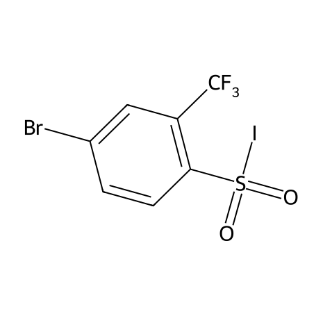 O=S(=O)(I)c1ccc(Br)cc1C(F)(F)F